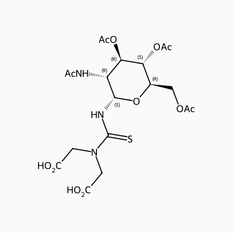 CC(=O)N[C@@H]1[C@@H](OC(C)=O)[C@H](OC(C)=O)[C@@H](COC(C)=O)O[C@@H]1NC(=S)N(CC(=O)O)CC(=O)O